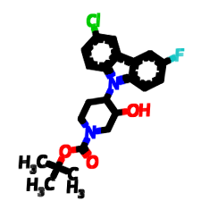 CC(C)(C)OC(=O)N1CCC(n2c3ccc(F)cc3c3cc(Cl)ccc32)C(O)C1